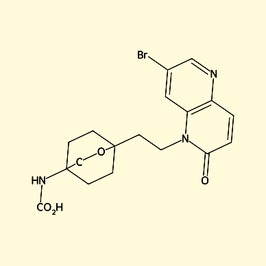 O=C(O)NC12CCC(CCn3c(=O)ccc4ncc(Br)cc43)(CC1)OC2